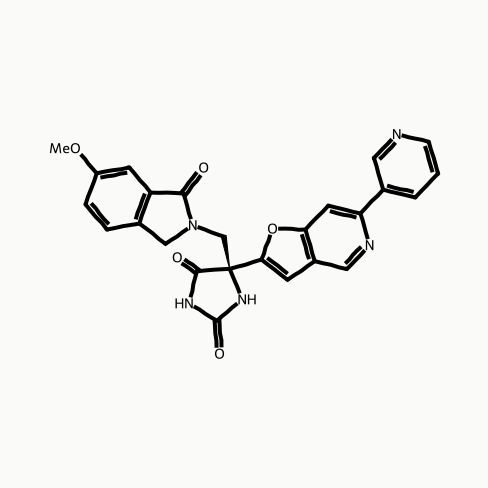 COc1ccc2c(c1)C(=O)N(C[C@@]1(c3cc4cnc(-c5cccnc5)cc4o3)NC(=O)NC1=O)C2